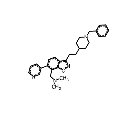 CN(C)Cc1c(-c2cccnc2)ccc2c(CCC3CCN(Cc4ccccc4)CC3)noc12